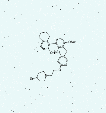 CCN1CCN(CCOc2ccc(Cc3c(OC)ccc(-c4c(O)ccc5c4CCCC5)c3N)cc2)CC1